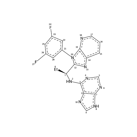 CC[C@H](Nc1ncnc2[nH]cnc12)c1nc2cccnc2n1-c1cc(F)cc(F)c1